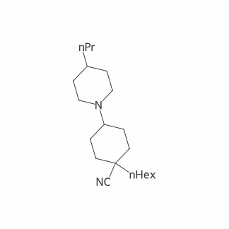 CCCCCCC1(C#N)CCC(N2CCC(CCC)CC2)CC1